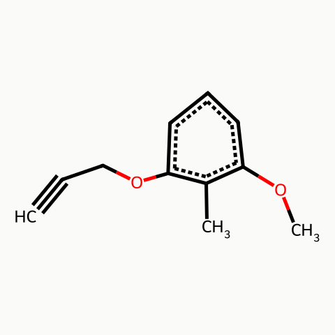 C#CCOc1cccc(OC)c1C